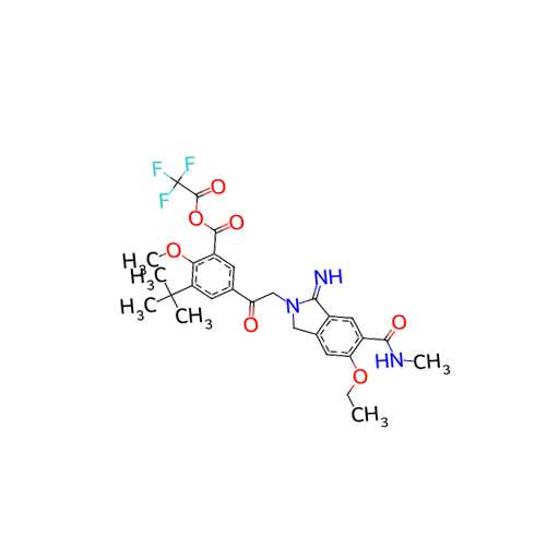 CCOc1cc2c(cc1C(=O)NC)C(=N)N(CC(=O)c1cc(C(=O)OC(=O)C(F)(F)F)c(OC)c(C(C)(C)C)c1)C2